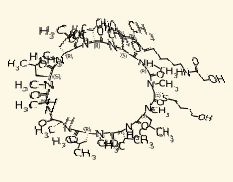 CC[C@H]1NC(=O)[C@H]([C@H](O)[C@H](C)CCCCCCNC(=O)CO)N(C)C(=O)[C@@H](C(C)C)N(C)C(=O)[C@@H](CC(C)C)N(C)C(=O)[C@H](CC(C)C)N(C)C(=O)[C@H](C)NC(=O)C(C)NC(=O)[C@@H](CC(C)C)N(C)C(=O)[C@@H](C(C)C)NC(=O)[C@H](CC(C)C)N(C)C(=O)[C@@H](CSCCCCO)N(C)C1=O